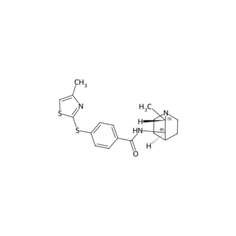 Cc1csc(Sc2ccc(C(=O)N[C@@H]3C4CCN(CC4)[C@H]3C)cc2)n1